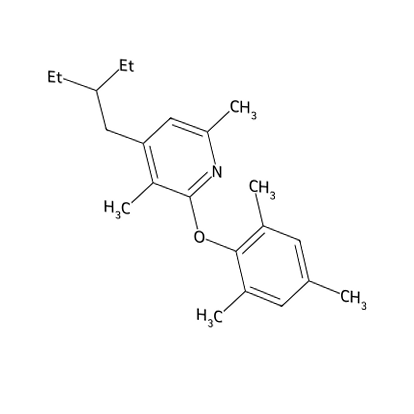 CCC(CC)Cc1cc(C)nc(Oc2c(C)cc(C)cc2C)c1C